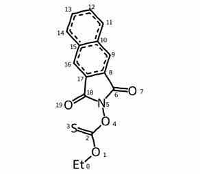 CCOC(=S)ON1C(=O)c2cc3ccccc3cc2C1=O